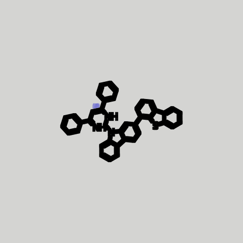 N=C(/C=C(\NCn1c2ccccc2c2ccc(-c3cccc4c3sc3ccccc34)cc21)c1ccccc1)c1ccccc1